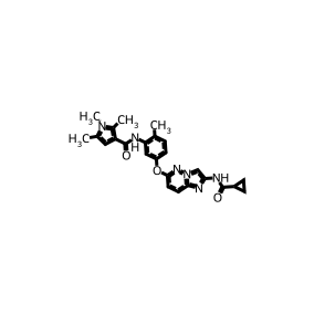 Cc1ccc(Oc2ccc3nc(NC(=O)C4CC4)cn3n2)cc1NC(=O)c1cc(C)n(C)c1C